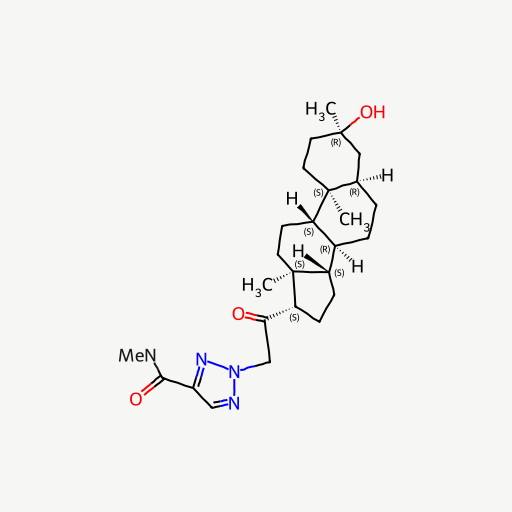 CNC(=O)c1cnn(CC(=O)[C@H]2CC[C@H]3[C@@H]4CC[C@@H]5C[C@](C)(O)CC[C@]5(C)[C@H]4CC[C@]23C)n1